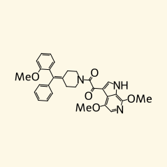 COc1ccccc1C(=C1CCN(C(=O)C(=O)c2c[nH]c3c(OC)ncc(OC)c23)CC1)c1ccccc1